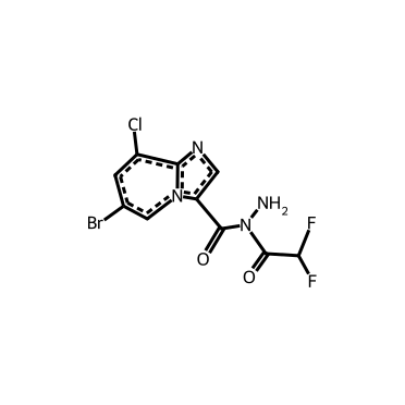 NN(C(=O)c1cnc2c(Cl)cc(Br)cn12)C(=O)C(F)F